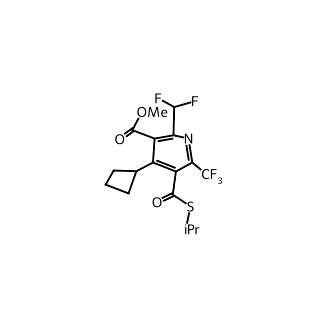 COC(=O)c1c(C(F)F)nc(C(F)(F)F)c(C(=O)SC(C)C)c1C1CCC1